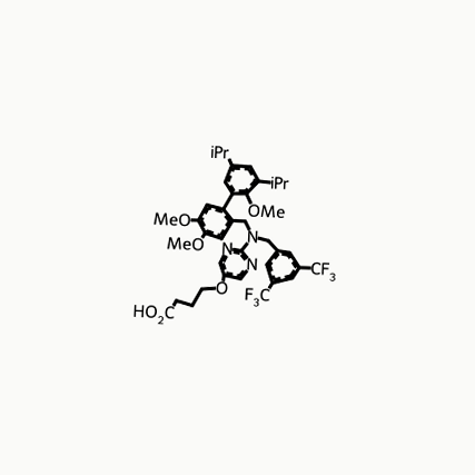 COc1cc(CN(Cc2cc(C(F)(F)F)cc(C(F)(F)F)c2)c2ncc(OCCCC(=O)O)cn2)c(-c2cc(C(C)C)cc(C(C)C)c2OC)cc1OC